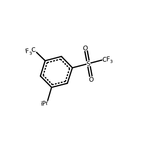 CC(C)c1cc(C(F)(F)F)cc(S(=O)(=O)C(F)(F)F)c1